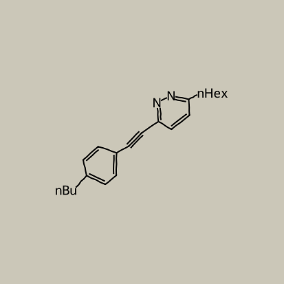 CCCCCCc1ccc(C#Cc2ccc(CCCC)cc2)nn1